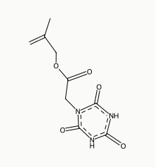 C=C(C)COC(=O)Cn1c(=O)[nH]c(=O)[nH]c1=O